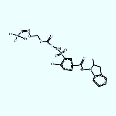 CC[N+]([O-])(CC)/N=N\OCOC(=O)CNS(=O)(=O)c1cc(C(=O)NN2c3ccccc3CC2C)ccc1Cl